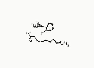 CCCCCCCC(=O)[O-].N#Cc1ccccc1I.[Na+]